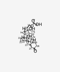 CC[C@]12CC[C@H]3[C@H]([C@@H]1[C@@H]1C[C@@H]1[C@@]2(O)/C=C\OC(=O)O)[C@H](C1CC1)CC1=CC(=O)CC[C@@H]13